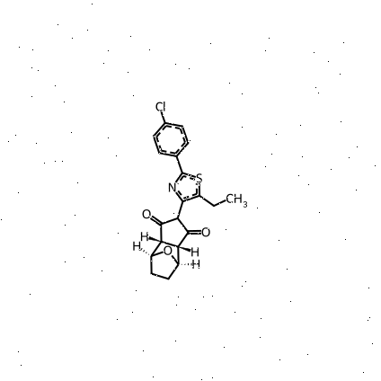 CCc1sc(-c2ccc(Cl)cc2)nc1C1C(=O)[C@@H]2[C@H](C1=O)[C@H]1CC[C@@H]2O1